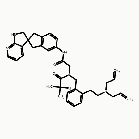 C=CCN(CC=C)CCc1ccccc1CN(CC(=O)Nc1ccc2c(c1)CC1(CNc3ncccc31)C2)C(=O)C(C)(C)C